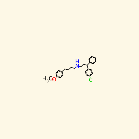 COc1ccc(CCCCNCCC(c2ccccc2)c2ccc(Cl)cc2)cc1